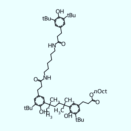 CCCCCCCCOC(=O)CCc1cc(C(C)(C)C)c(O)c(C(C)(C)CCC(C)(C)c2cc(CCC(=O)NCCCCCCNC(=O)CCc3cc(C(C)(C)C)c(O)c(C(C)(C)C)c3)cc(C(C)(C)C)c2O)c1